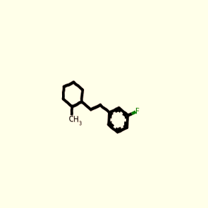 CC1CCCCC1CCc1cccc(F)c1